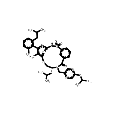 Cc1cccc(CC(C)C)c1-c1nc2nc(c1C)OC[C@@H](CC(C)C)N(Cc1cnc(OC(C)C)cn1)C(=O)c1cccc(c1)S(=O)(=O)N2